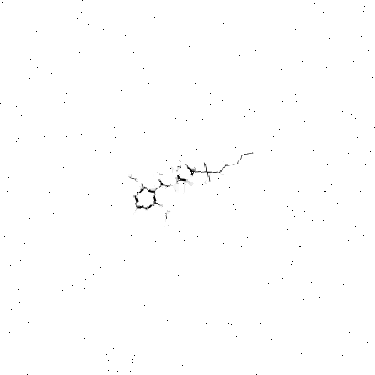 CCCCCC(C)(C)c1nnc(NC(=O)c2c(OC)cccc2OC)s1